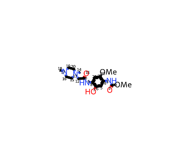 COC(=O)Nc1cc(O)c(NC(=O)C[N+]2(C)CCN(C)CC2)cc1OC